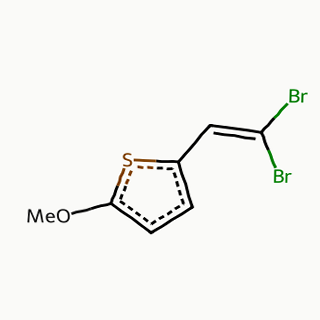 COc1ccc(C=C(Br)Br)s1